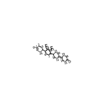 CC1C=CC(c2ccc(C3CCC(C4CCC(C)CC4)CC3)c(F)c2F)CC1